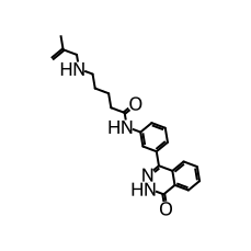 C=C(C)CNCCCCC(=O)Nc1cccc(-c2n[nH]c(=O)c3ccccc23)c1